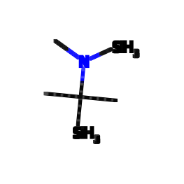 CN([SiH3])C(C)(C)[SiH3]